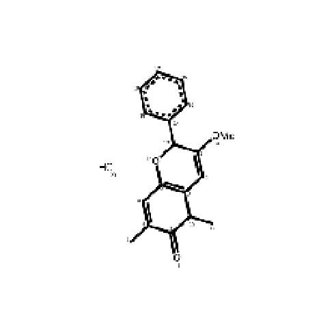 COC1=CC2=C(C=C(C)C(=O)C2C)OC1c1ccccc1.Cl